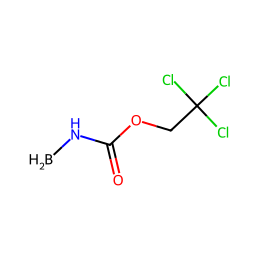 BNC(=O)OCC(Cl)(Cl)Cl